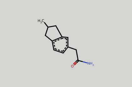 CC1Cc2ccc(CC(N)=O)cc2C1